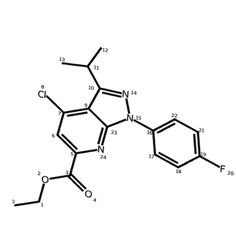 CCOC(=O)c1cc(Cl)c2c(C(C)C)nn(-c3ccc(F)cc3)c2n1